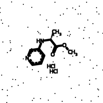 COC(=O)[C@@H](C)Nc1cccnc1.Cl.Cl